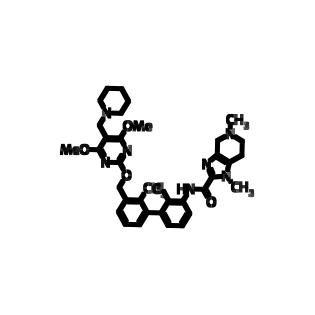 COc1nc(OCc2cccc(-c3cccc(NC(=O)c4nc5c(n4C)CCN(C)C5)c3Cl)c2C)nc(OC)c1CN1CCCCC1